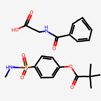 CNS(=O)(=O)c1ccc(OC(=O)C(C)(C)C)cc1.O=C(O)CNC(=O)c1ccccc1